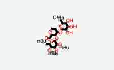 CCCCOCC1OCCC(OC2OC(COC)C(O)C(O)C2O)C1OC1OC(C)C(OCCCC)C(OCCCC)C1OCCCC